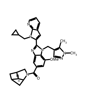 COc1cc(C(=O)N2CC3CC4CC2[C@H]43)cc2nc(-c3cc4cccnc4n3CC3CC3)n(Cc3cnn(C)c3C)c12